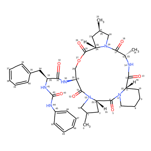 CC1C[C@H]2C(=O)N3CCCC[C@H]3C(=O)N[C@@H](C)C(=O)N3C[C@H](C)C[C@H]3C(=O)OC[C@H](NC(=O)[C@H](Cc3ccccc3)NC(=O)Nc3ccccc3)C(=O)N2C1